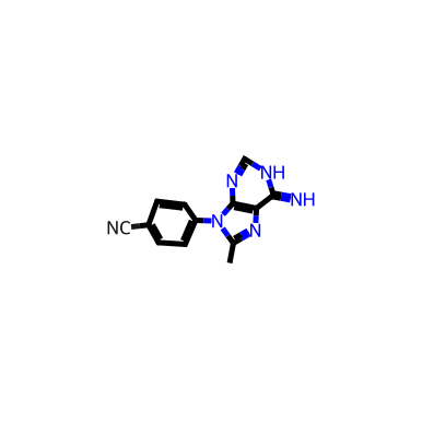 Cc1nc2c(=N)[nH]cnc2n1-c1ccc(C#N)cc1